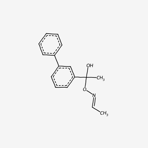 CC=NOC(C)(O)c1cccc(-c2ccccc2)c1